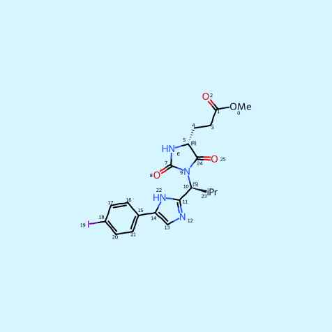 COC(=O)CC[C@H]1NC(=O)N([C@H](c2ncc(-c3ccc(I)cc3)[nH]2)C(C)C)C1=O